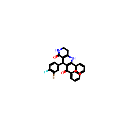 O=C1NCCC2=C1C(c1ccc(F)c(Br)c1)C(C(=O)c1ccccc1)=C(c1ccccc1)N2